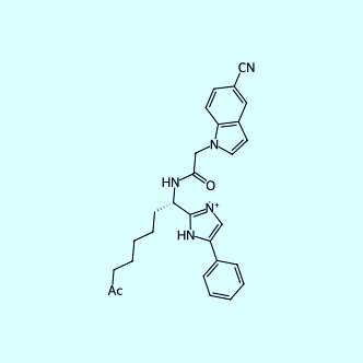 CC(=O)CCCCC[C@H](NC(=O)Cn1ccc2cc(C#N)ccc21)C1=[N+]C=C(c2ccccc2)N1